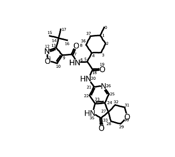 CC1CCC(C(NC(=O)c2conc2C(C)(C)C)C(=O)Nc2cc3c(cn2)C2(CCOCC2)C(=O)N3)CC1